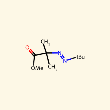 COC(=O)C(C)(C)N=NC(C)(C)C